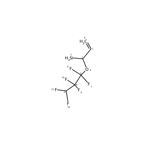 C=CC([SiH3])OC(F)(F)C(F)(F)C(F)F